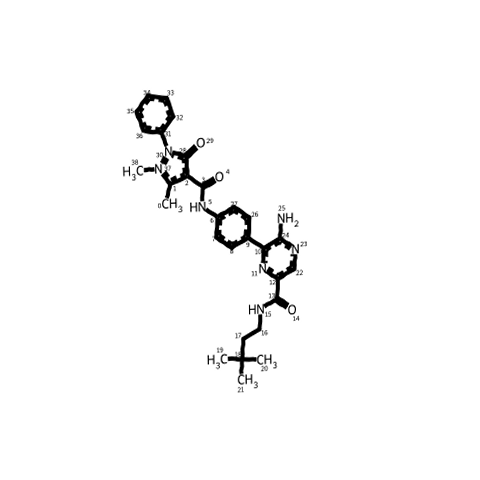 Cc1c(C(=O)Nc2ccc(-c3nc(C(=O)NCCC(C)(C)C)cnc3N)cc2)c(=O)n(-c2ccccc2)n1C